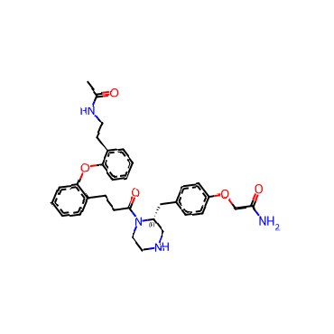 CC(=O)NCCc1ccccc1Oc1ccccc1CCC(=O)N1CCNC[C@H]1Cc1ccc(OCC(N)=O)cc1